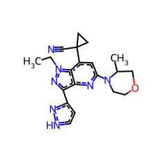 CCn1nc(-c2cc[nH]n2)c2nc(N3CCOCC3C)cc(C3(C#N)CC3)c21